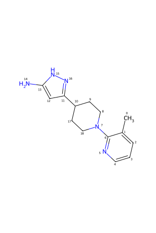 Cc1cccnc1N1CCC(c2cc(N)[nH]n2)CC1